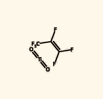 FC(F)=C(F)C(F)(F)F.[O]=[Ti]=[O]